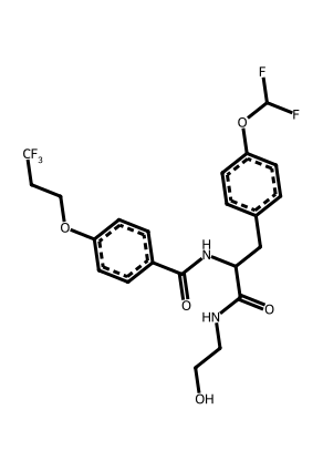 O=C(NC(Cc1ccc(OC(F)F)cc1)C(=O)NCCO)c1ccc(OCCC(F)(F)F)cc1